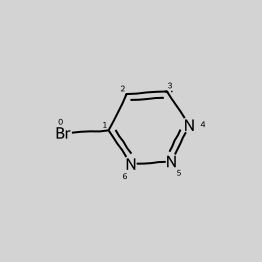 Brc1c[c]nnn1